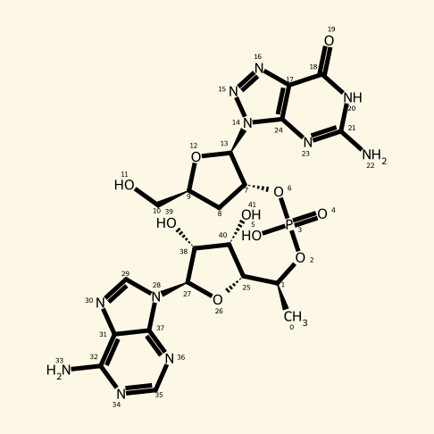 C[C@H](OP(=O)(O)O[C@@H]1C[C@@H](CO)O[C@H]1n1nnc2c(=O)[nH]c(N)nc21)[C@@H]1O[C@@H](n2cnc3c(N)ncnc32)[C@H](O)[C@@H]1O